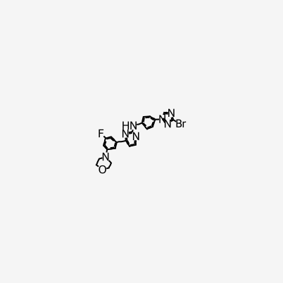 Fc1cc(-c2ccnc(Nc3ccc(-n4cnc(Br)n4)cc3)n2)cc(N2CCOCC2)c1